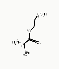 CC[C@H](C)[C@H](N)C(=O)OCCC(=O)O